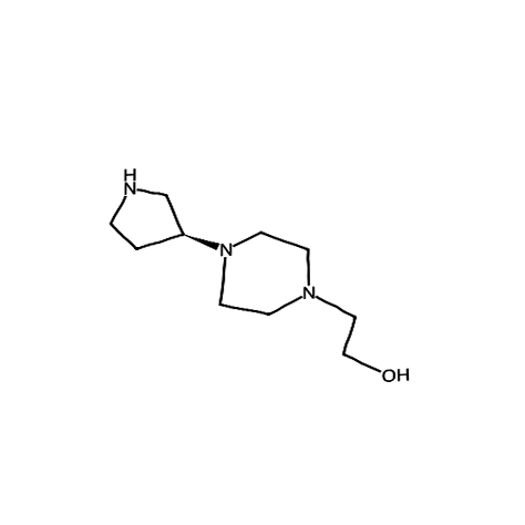 OCCN1CCN([C@H]2CCNC2)CC1